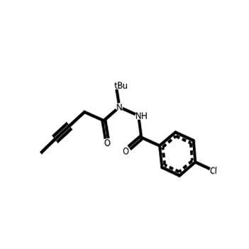 CC#CCC(=O)N(NC(=O)c1ccc(Cl)cc1)C(C)(C)C